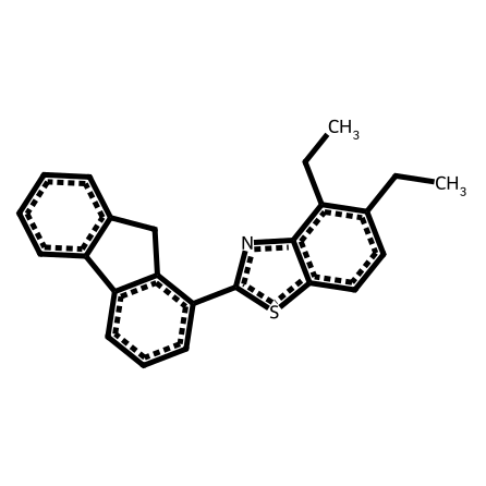 CCc1ccc2sc(-c3cccc4c3Cc3ccccc3-4)nc2c1CC